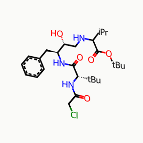 CC(C)C(NC[C@@H](O)[C@H](Cc1ccccc1)NC(=O)[C@@H](NC(=O)CCl)C(C)(C)C)C(=O)OC(C)(C)C